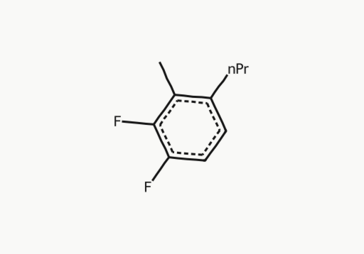 C[CH]Cc1ccc(F)c(F)c1C